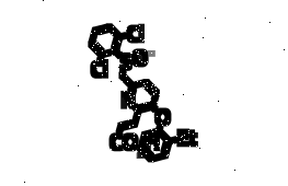 CCc1ccccc1Oc1ccc(C[S+]([O-])c2c(Cl)cccc2Cl)nc1C=CC(=O)O